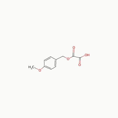 COc1ccc(COC(=O)C(=O)O)cc1